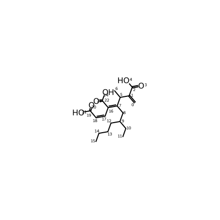 C=C(C(=O)O)C(C)C(CC(CC)CCCC)=C(C=CC(=O)O)C(=O)O